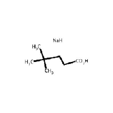 CC(C)(C)CCC(=O)O.[NaH]